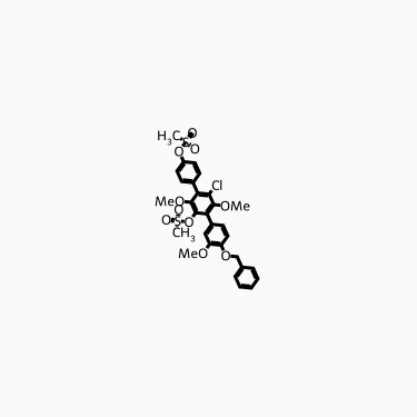 COc1cc(-c2c(OC)c(Cl)c(-c3ccc(OS(C)(=O)=O)cc3)c(OC)c2OS(C)(=O)=O)ccc1OCc1ccccc1